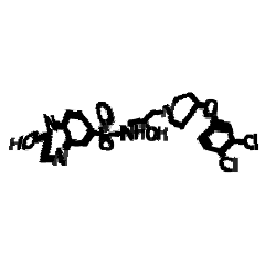 O=S(=O)(NC[C@@H](O)CN1CCC(Oc2ccc(Cl)c(Cl)c2)CC1)c1ccc2nc(O)cnc2c1